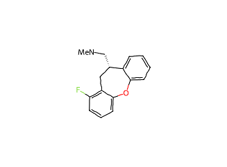 CNC[C@H]1Cc2c(F)cccc2Oc2ccccc21